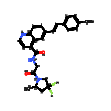 COc1ccc(/C=C/c2ccc3nccc(C(=O)NCC(=O)N4CC(F)(F)CC4C#N)c3c2)cc1